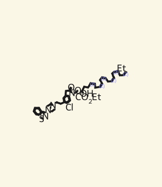 CC/C=C\C/C=C\C/C=C\C/C=C\C/C=C\C/C=C\CCC(O)OC(C(=O)OCC)N1C(=O)Cc2cc(CCN3CCN(c4nsc5ccccc45)CC3)c(Cl)cc21